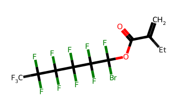 C=C(CC)C(=O)OC(F)(Br)C(F)(F)C(F)(F)C(F)(F)C(F)(F)C(F)(F)F